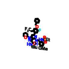 CCS(=O)(=O)Nc1ccc(OC)cc1CNc1nc(-c2cc(F)c(OCc3ccccc3)cc2CC(F)(F)F)cc2c1c(C(=O)NC(C)(C)C)nn2C1CCCCO1